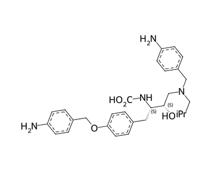 CC(C)CN(Cc1ccc(N)cc1)C[C@H](O)[C@H](Cc1ccc(OCc2ccc(N)cc2)cc1)NC(=O)O